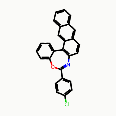 Clc1ccc(C2=Nc3ccc4cc5ccccc5cc4c3-c3ccccc3O2)cc1